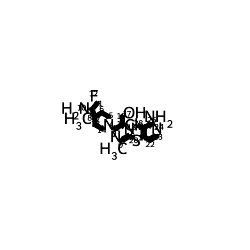 Cc1nc(N2CCC(C)([C@@H](N)CF)CC2)c(CO)nc1Sc1ccnc(N)c1Cl